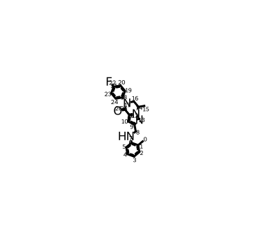 Cc1ccccc1NCc1cc2n(n1)C(C)CN(c1ccc(F)cc1)C2=O